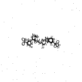 Cc1cc(C(=O)O)cc(-c2cnn(C)c2OCCC[C@@H](C)Cn2c(N)nc3ccc(C4OCCO4)cc32)n1